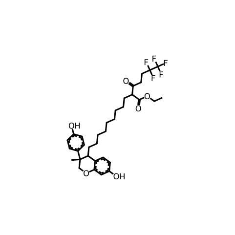 CCOC(=O)C(CCCCCCCCCC1c2ccc(O)cc2OCC1(C)c1ccc(O)cc1)C(=O)CCC(F)(F)C(F)(F)F